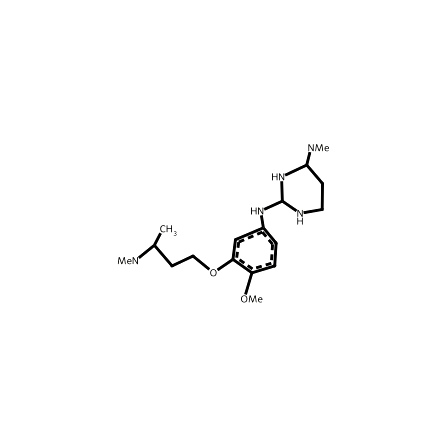 CNC(C)CCOc1cc(NC2NCCC(NC)N2)ccc1OC